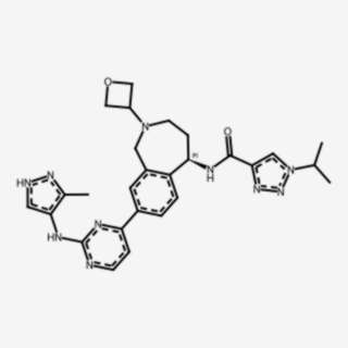 Cc1n[nH]cc1Nc1nccc(-c2ccc3c(c2)CN(C2COC2)CC[C@H]3NC(=O)c2cn(C(C)C)nn2)n1